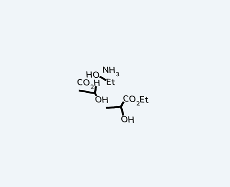 CC(O)C(=O)O.CCO.CCOC(=O)C(C)O.N